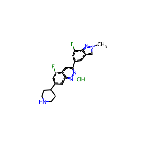 Cl.Cn1cc2cc(-c3cc4c(F)cc(C5CCNCC5)cc4nn3)cc(F)c2n1